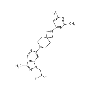 Cc1nc(N2CC3(CCN(c4ncc5c(C)nn(CC(F)F)c5n4)CC3)C2)cc(C(F)(F)F)n1